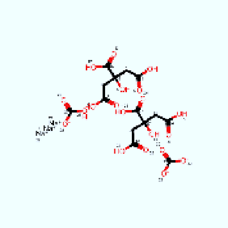 O=C(O)CC(O)(CC(=O)O)C(=O)O.O=C(O)CC(O)(CC(=O)O)C(=O)O.O=C([O-])O.O=C([O-])[O-].[Na+].[Na+].[Na+]